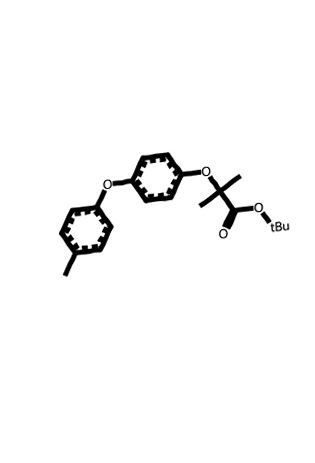 Cc1ccc(Oc2ccc(OC(C)(C)C(=O)OC(C)(C)C)cc2)cc1